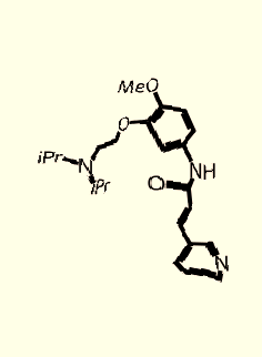 COc1ccc(NC(=O)C=Cc2cccnc2)cc1OCCN(C(C)C)C(C)C